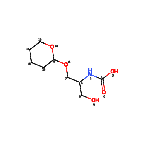 O=C(O)NC(CO)COC1CCCCO1